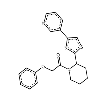 O=C(COc1ccccc1)N1CCCCC1c1nc(-c2cccnc2)cs1